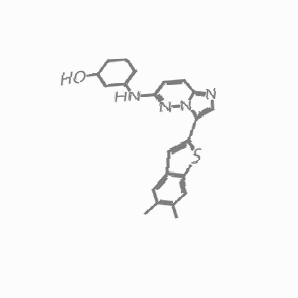 Cc1cc2cc(-c3cnc4ccc(NC5CCCC(O)C5)nn34)sc2cc1C